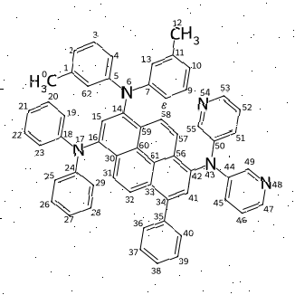 Cc1cccc(N(c2cccc(C)c2)c2cc(N(c3ccccc3)c3ccccc3)c3ccc4c(-c5ccccc5)cc(N(c5cccnc5)c5cccnc5)c5ccc2c3c45)c1